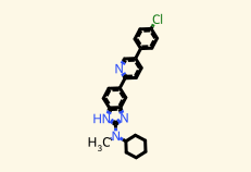 CN(c1nc2cc(-c3ccc(-c4ccc(Cl)cc4)cn3)ccc2[nH]1)C1CCCCC1